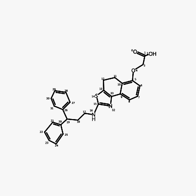 O=C(O)COc1cccc2c1CCc1sc(NCCC(c3ccccc3)c3ccccc3)nc1-2